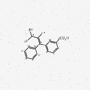 O=C(O)c1cccc(C(=C(F)C(F)F)c2ccccc2)c1